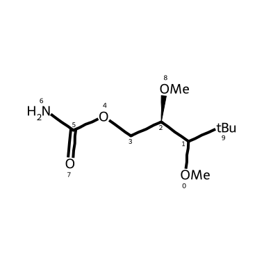 COC([C@@H](COC(N)=O)OC)C(C)(C)C